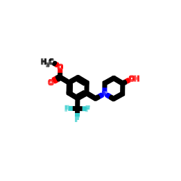 COC(=O)c1ccc(CN2CCC(O)CC2)c(C(F)(F)F)c1